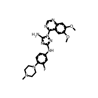 COc1cc2ncnc(-n3nc(Nc4ccc(N5CCN(C)CC5)c(F)c4)nc3N)c2cc1OC